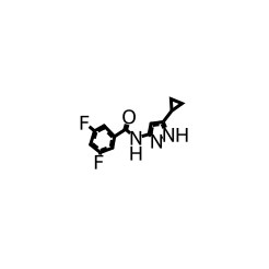 O=C(Nc1cc(C2CC2)[nH]n1)c1cc(F)cc(F)c1